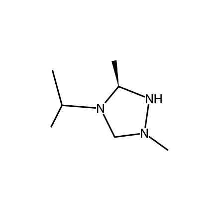 CC(C)N1CN(C)N[C@@H]1C